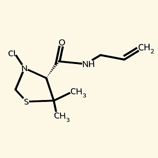 C=CCNC(=O)[C@H]1N(Cl)CSC1(C)C